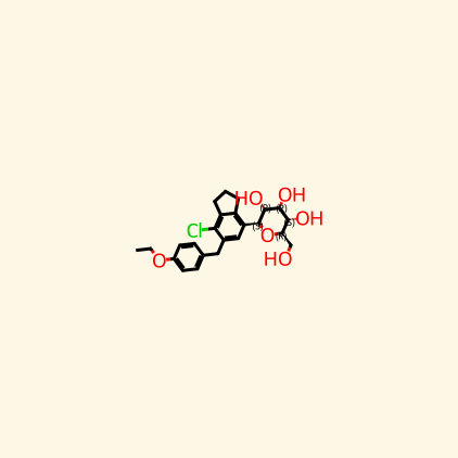 CCOc1ccc(Cc2cc([C@@H]3O[C@H](CO)[C@@H](O)[C@H](O)[C@H]3O)c3c(c2Cl)CCC3)cc1